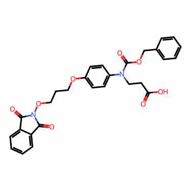 O=C(O)CCN(C(=O)OCc1ccccc1)c1ccc(OCCCON2C(=O)c3ccccc3C2=O)cc1